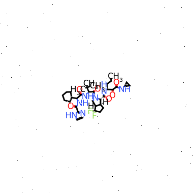 CCC[C@H](NC(=O)[C@@H]1[C@H]2CCC(F)(F)[C@H]2CN1C(=O)[C@@H](NC(=O)C(NC(=O)c1ncc[nH]1)C1CCCCC1)C(C)(C)C)C(=O)C(=O)NC1CC1